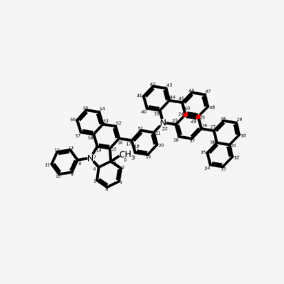 CC12C=CC=CC1N(c1ccccc1)c1c2c(-c2cccc(N(c3ccc(-c4cccc5ccccc45)cc3)c3ccccc3-c3ccccc3)c2)cc2ccccc12